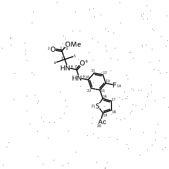 COC(=O)C(C)(C)NC(=O)Nc1ccc(F)c(-c2ccc(C(C)=O)s2)c1